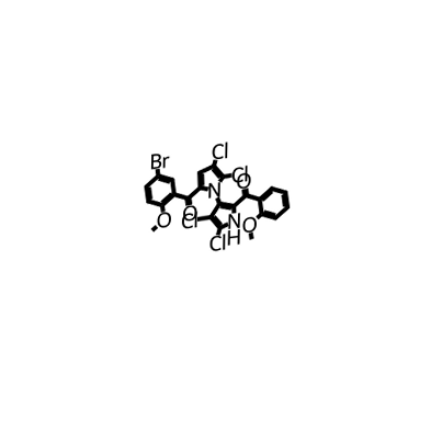 COc1ccccc1C(=O)c1[nH]c(Cl)c(Cl)c1-n1c(C(=O)c2cc(Br)ccc2OC)cc(Cl)c1Cl